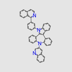 c1cc(-c2nccc3ccccc23)cc(-n2c3c(c4ccccc42)-c2ccccc2N(c2cnc4ccccc4c2)c2ccccc2-3)c1